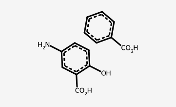 Nc1ccc(O)c(C(=O)O)c1.O=C(O)c1ccccc1